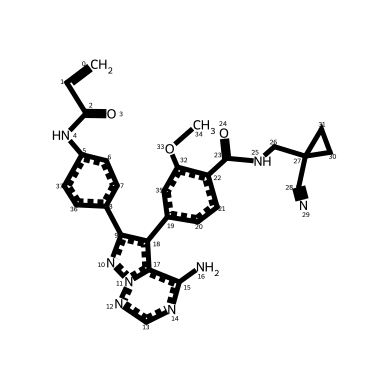 C=CC(=O)Nc1ccc(-c2nn3ncnc(N)c3c2-c2ccc(C(=O)NCC3(C#N)CC3)c(OC)c2)cc1